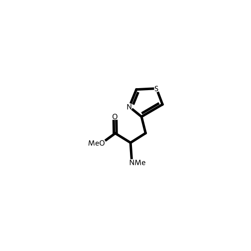 CNC(Cc1cscn1)C(=O)OC